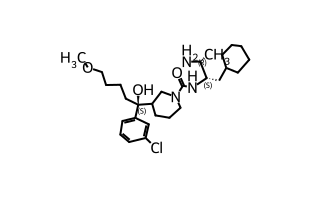 COCCCC[C@@](O)(c1cccc(Cl)c1)C1CCCN(C(=O)N[C@@H](CC2CCCCC2)[C@@H](C)N)C1